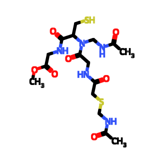 COC(=O)CNC(=O)C(CS)N(CNC(C)=O)C(=O)CNC(=O)CSCNC(C)=O